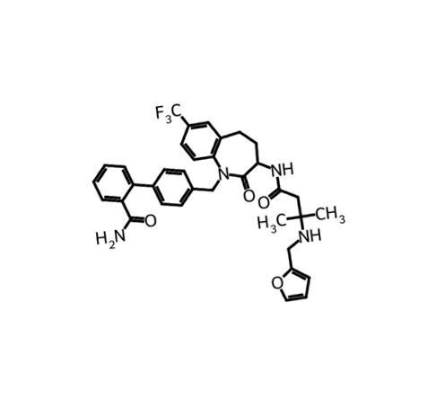 CC(C)(CC(=O)NC1CCc2cc(C(F)(F)F)ccc2N(Cc2ccc(-c3ccccc3C(N)=O)cc2)C1=O)NCc1ccco1